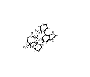 CCNC(=O)NC1(C2CNCCC2(C)C(=O)O)N=CC=CN1c1cc(-c2ccccn2)c2scnc2c1